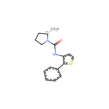 O=C(O)[C@H]1CCCN1C(=O)Nc1ccsc1-c1ccccc1